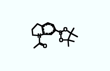 CC(=O)N1CCCc2ccc(B3OC(C)(C)C(C)(C)O3)cc21